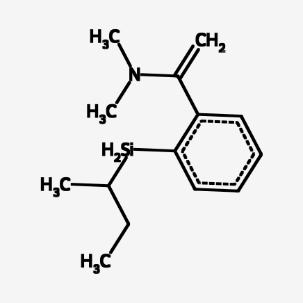 C=C(c1ccccc1[SiH2]C(C)CC)N(C)C